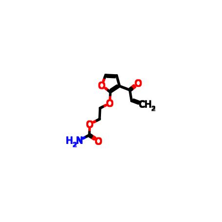 C=CC(=O)c1ccoc1OCCOC(N)=O